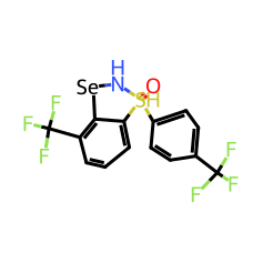 O=[SH]1(c2ccc(C(F)(F)F)cc2)N[Se]c2c(C(F)(F)F)cccc21